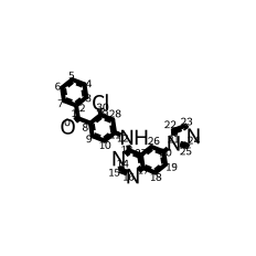 O=C(c1ccccc1)c1ccc(Nc2ncnc3ccc(-n4ccnc4)cc23)cc1Cl